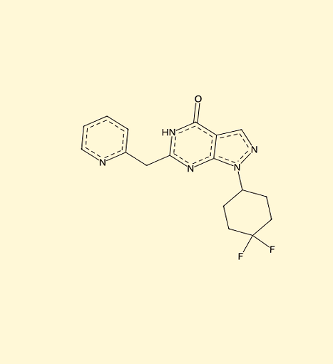 O=c1[nH]c(Cc2ccccn2)nc2c1cnn2C1CCC(F)(F)CC1